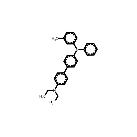 CCN(CC)c1ccc(-c2ccc(N(c3ccccc3)c3cccc(C)c3)cc2)cc1